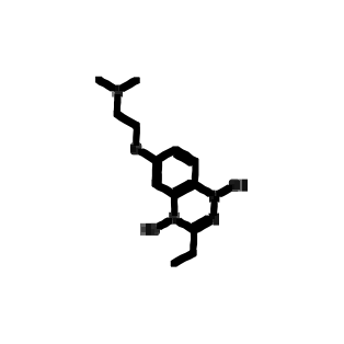 CCC1=NN(O)c2ccc(OCCN(C)C)cc2N1O